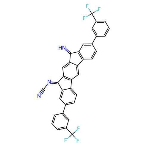 N#C/N=c1\c2cc(-c3cccc(C(F)(F)F)c3)ccc2c2cc3c(cc12)c(=N)c1cc(-c2cccc(C(F)(F)F)c2)ccc13